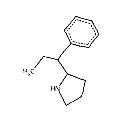 CCC(c1ccccc1)C1CCCN1